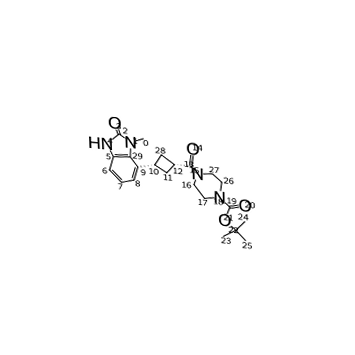 Cn1c(=O)[nH]c2cccc([C@H]3C[C@@H](C(=O)N4CCN(C(=O)OC(C)(C)C)CC4)C3)c21